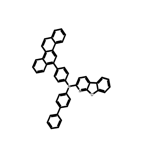 c1ccc(-c2ccc(N(c3ccc(-c4cc5c6ccccc6ccc5c5ccccc45)cc3)c3ccc4c(n3)oc3ccccc34)cc2)cc1